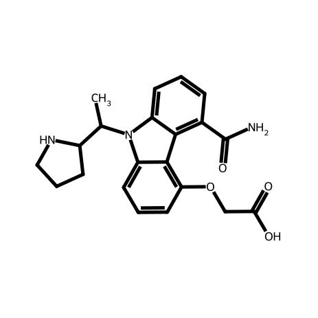 CC(C1CCCN1)n1c2cccc(OCC(=O)O)c2c2c(C(N)=O)cccc21